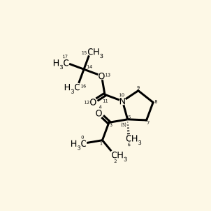 CC(C)C(=O)[C@]1(C)CCCN1C(=O)OC(C)(C)C